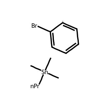 Brc1[c]cccc1.CC[CH2][Sn]([CH3])([CH3])[CH3]